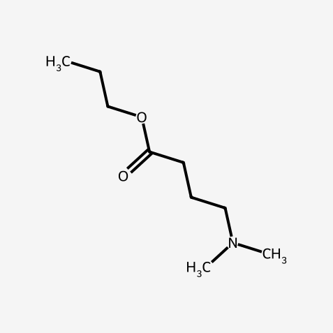 CCCOC(=O)CCCN(C)C